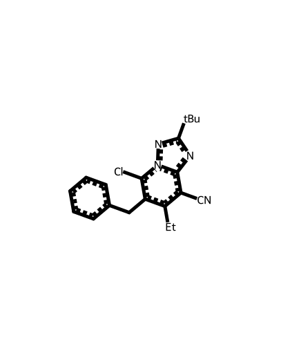 CCc1c(Cc2ccccc2)c(Cl)n2nc(C(C)(C)C)nc2c1C#N